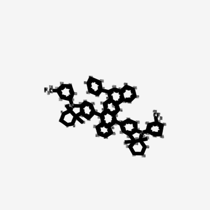 CC12CCCCC1(C)N(c1cccc(C(F)(F)F)c1)c1ccc(-c3c4ccccc4c(-c4ccc5c(c4)C4(C)CCCCC4(C)N5c4cccc(C(F)(F)F)c4)c4cc5c(cc34)c(-c3ccccc3)cc3ccccc35)cc12